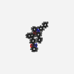 c1ccc(-c2ccc(N(c3ccc(-c4ccccc4)cc3)c3ccccc3Oc3cc(-c4ccc(-c5nc6ccccc6o5)cc4)c4ccccc4c3)cc2)cc1